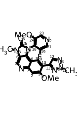 COc1cc2ncc3c(c2cc1-c1cnn(C)n1)n(-c1c(F)cncc1OC)c(=O)n3C